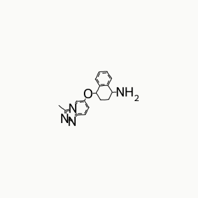 Cc1nnc2ccc(OC3CCC(N)c4ccccc43)cn12